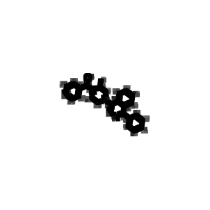 CC1CN(c2nnc(-c3ccccc3)c3ccccc23)CCN1C(=O)c1ccncc1